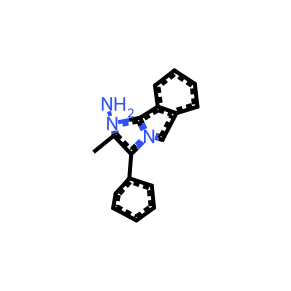 Cc1c(-c2ccccc2)n2cc3ccccc3c2n1N